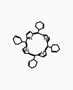 C1=CC(c2c3nc(c(C4C=CCCC4)c4ccc([nH]4)c(C4C=CCCC4)c4nc(c(C5C=CCCC5)c5ccc2[nH]5)C=C4)C=C3)CCC1